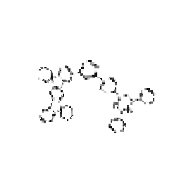 C1=CCCC(C2CC(C3C=CC(c4cccc(-c5ccc6c(c5)-c5cc7c(cc5C65CCCCC5)-c5ccccc5C75CCCCC5)c4)=CC3)=NC(c3ccccc3)=N2)=C1